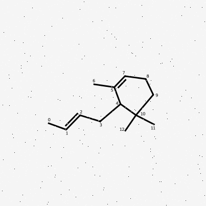 CC=CCC1C(C)=CCCC1(C)C